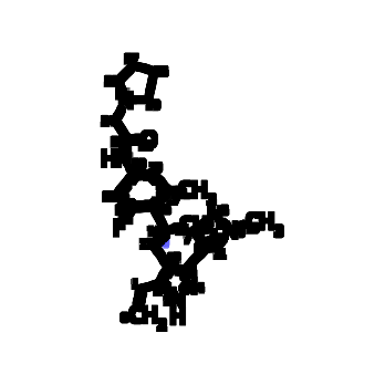 C=Cc1[nH]nc(-c2cnn(C)c2)c1/C=C(\C)c1c(C)cc(NC(=O)CN2CCCC2)cc1F